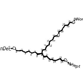 CCCCCCCCCCOCCCCCCC[C](CCCCCCCOCCCCCCC)CCCCCCCOCCCCCOCCCCCCCCC